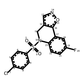 O=S(=O)(c1ccc(Cl)cc1)N1Cc2cnoc2-c2cc(F)ccc21